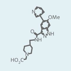 COc1cc2[nH]nc(C(=O)NCC3CCN(CC(=O)O)CC3)c2cc1-c1cccnc1